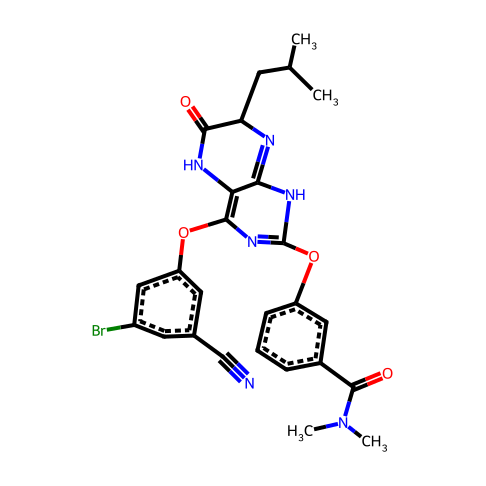 CC(C)CC1N=C2NC(Oc3cccc(C(=O)N(C)C)c3)=NC(Oc3cc(Br)cc(C#N)c3)=C2NC1=O